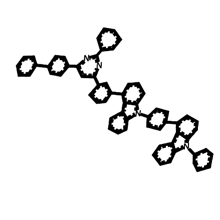 c1ccc(-c2ccc(-c3cc(-c4cccc(-c5cccc6c5c5ccccc5n6-c5ccc(-c6cccc7c6c6ccccc6n7-c6ccccc6)cc5)c4)nc(-c4ccccc4)n3)cc2)cc1